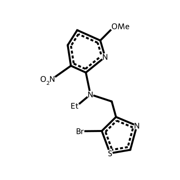 CCN(Cc1ncsc1Br)c1nc(OC)ccc1[N+](=O)[O-]